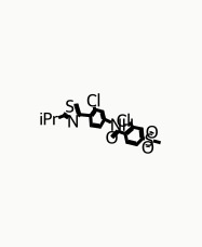 CC(C)c1nc(-c2ccc(NC(=O)c3ccc(S(C)(=O)=O)cc3Cl)cc2Cl)cs1